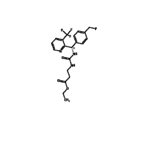 CCOC(=O)CCNC(=O)N[C@@H](c1ccc(CF)cc1)c1ncccc1C(F)(F)F